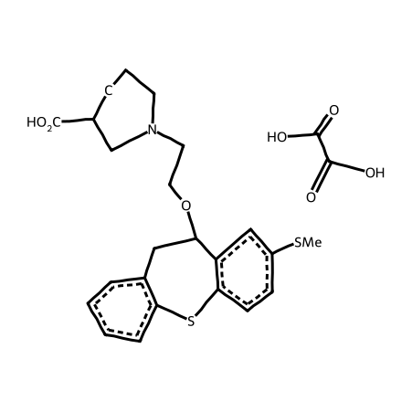 CSc1ccc2c(c1)C(OCCN1CCCC(C(=O)O)C1)Cc1ccccc1S2.O=C(O)C(=O)O